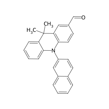 CC1(C)c2ccccc2N(c2ccc3ccccc3c2)c2ccc(C=O)cc21